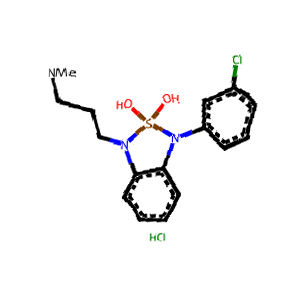 CNCCCN1c2ccccc2N(c2cccc(Cl)c2)S1(O)O.Cl